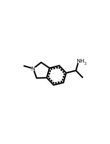 CC(N)c1ccc2c(c1)CN(C)C2